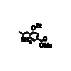 CCOc1cc(C(=O)OC)ccc1CC(C)N